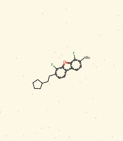 CCCCc1ccc2c(oc3c(F)c(CCC4CCCC4)ccc32)c1F